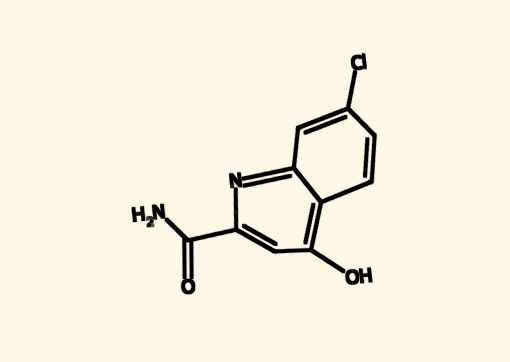 NC(=O)c1cc(O)c2ccc(Cl)cc2n1